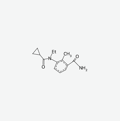 CCN(C(=O)C1CC1)c1cccc(C(N)=O)c1C